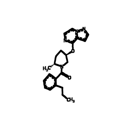 CCCc1ccccc1C(=O)N1C[C@H](Oc2nccn3nccc23)CC[C@H]1C